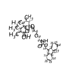 CC(CCOCCOCCNC(=O)OCC1c2ccccc2-c2ccccc21)[C@H](C)[C@@H](C)[C@@H](C)[C@H](C)C(=O)O